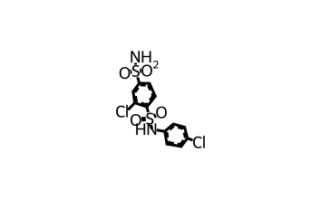 NS(=O)(=O)c1ccc(S(=O)(=O)Nc2ccc(Cl)cc2)c(Cl)c1